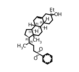 CC[C@]1(O)CC[C@H]2C(=CC[C@@H]3[C@@H]2CC[C@]2(C)[C@@H]([C@H](C)CCS(=O)(=O)c4ccccc4)CC[C@@H]32)C1